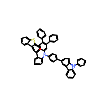 c1ccc(-c2ccc(N(c3ccc(-c4ccc5c(c4)c4ccccc4n5-c4ccccc4)cc3)c3ccccc3-c3ccc4sc5ccccc5c4c3)cc2-c2ccccc2)cc1